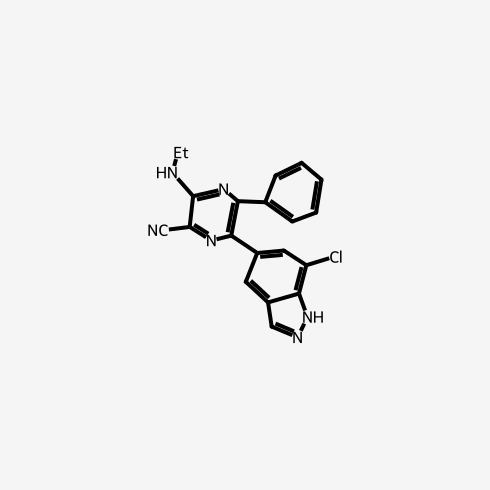 CCNc1nc(-c2ccccc2)c(-c2cc(Cl)c3[nH]ncc3c2)nc1C#N